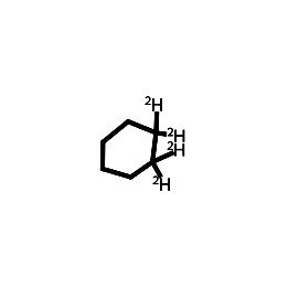 [2H]C1([2H])CCCCC1([2H])[2H]